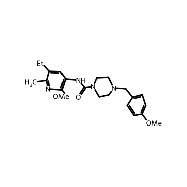 CCc1cc(NC(=O)N2CCN(Cc3ccc(OC)cc3)CC2)c(OC)nc1C